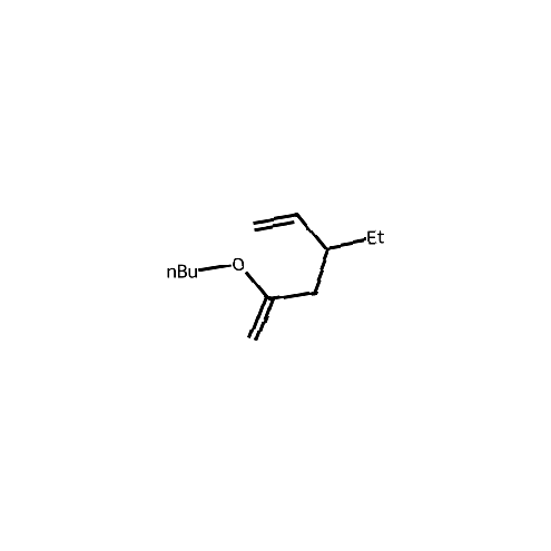 C=CC(CC)CC(=C)OCCCC